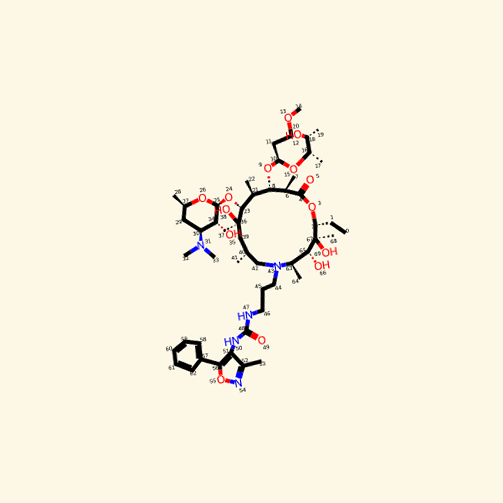 CC[C@H]1OC(=O)[C@H](C)[C@@H](O[C@@H](CCOC)O[C@@H](C)[C@@H](C)O)[C@H](C)[C@@H](O[C@@H]2O[C@H](C)C[C@H](N(C)C)[C@H]2O)[C@](C)(O)C[C@@H](C)CN(CCCNC(=O)Nc2c(C)noc2-c2ccccc2)[C@H](C)[C@@H](O)[C@]1(C)O